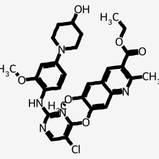 CCOC(=O)c1cc2cc(OC)c(Oc3nc(Nc4ccc(N5CCC(O)CC5)cc4OC)ncc3Cl)cc2nc1C